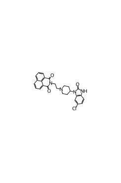 O=C1c2cccc3cccc(c23)C(=O)N1CCN1CCC(n2c(=O)[nH]c3ccc(Cl)cc32)CC1